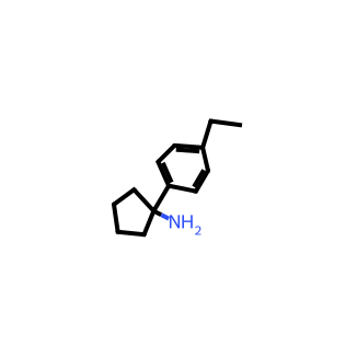 CCc1ccc(C2(N)CCCC2)cc1